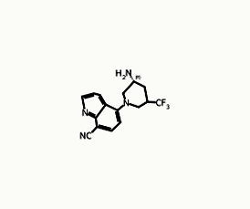 N#Cc1ccc(N2CC(C(F)(F)F)C[C@@H](N)C2)c2cccnc12